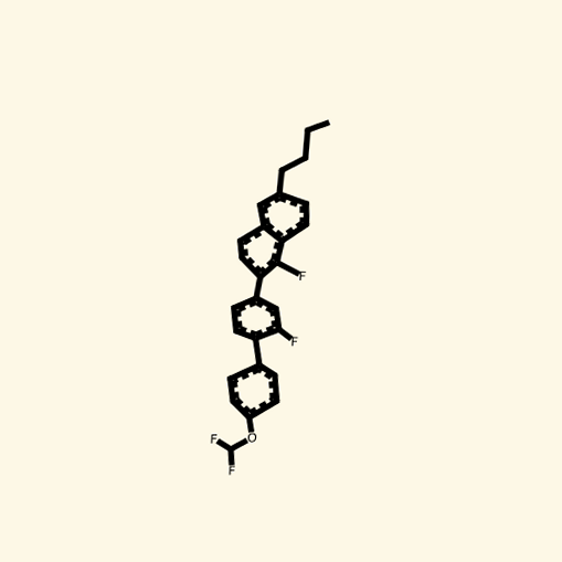 CCCCc1ccc2c(F)c(-c3ccc(-c4ccc(OC(F)F)cc4)c(F)c3)ccc2c1